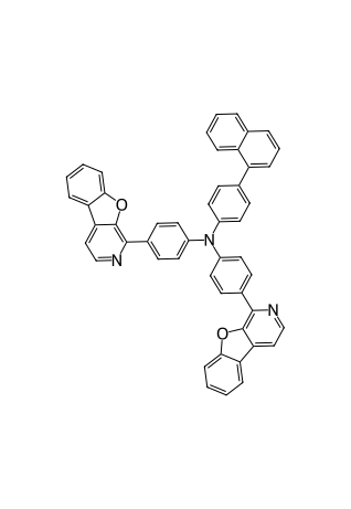 c1ccc2c(-c3ccc(N(c4ccc(-c5nccc6c5oc5ccccc56)cc4)c4ccc(-c5nccc6c5oc5ccccc56)cc4)cc3)cccc2c1